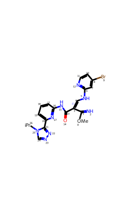 COC(=N)/C(=C\Nc1cc(Br)ccn1)C(=O)Nc1cccc(-c2nncn2C(C)C)n1